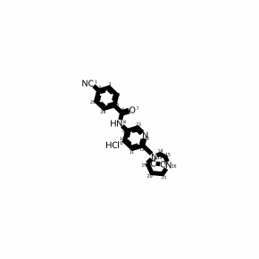 Cl.N#Cc1ccc(C(=O)Nc2ccc(N3CCN4CCC3CC4)nc2)cc1